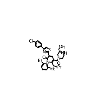 CCc1cccc(CC)c1-n1c(CC(C)C)c(C(=O)N2CCN[C@H](CO)C2)cc(-c2nc(-c3ccc(Cl)cc3)cs2)c1=O